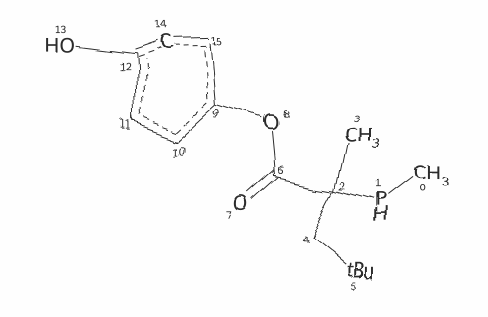 CPC(C)(CC(C)(C)C)C(=O)Oc1ccc(O)cc1